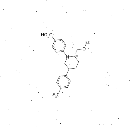 CCOC[C@@H]1CCC(c2ccc(C(F)(F)F)cc2)CN1c1ccc(C(=O)O)cc1